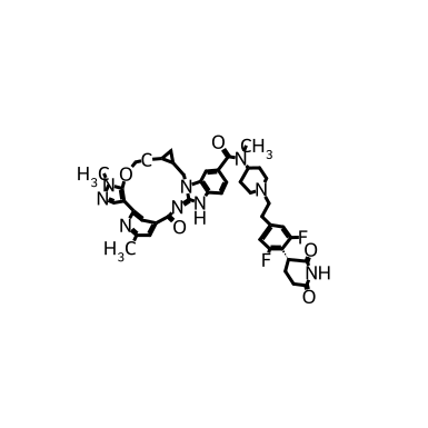 Cc1cc2cc(n1)-c1cnn(C)c1OCCC1CC1CN1/C(=N/C2=O)Nc2ccc(C(=O)N(C)C3CCN(CCc4cc(F)c([C@H]5CCC(=O)NC5=O)c(F)c4)CC3)cc21